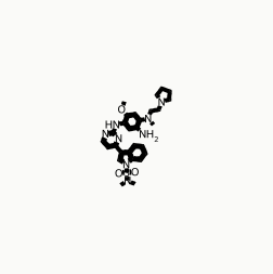 COc1cc(N(C)CCN2CCCC2)c(N)cc1Nc1nccc(-c2cn(S(=O)(=O)N(C)C)c3ccccc23)n1